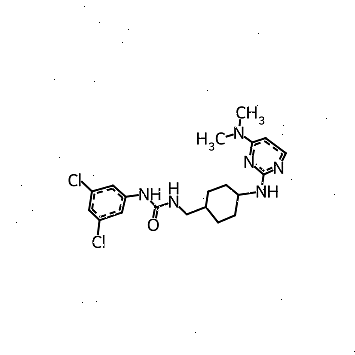 CN(C)c1ccnc(NC2CCC(CNC(=O)Nc3cc(Cl)cc(Cl)c3)CC2)n1